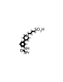 CC(C)C(=O)Nc1cccc(C2CCN(CCCCS(=O)(=O)O)CC2)c1